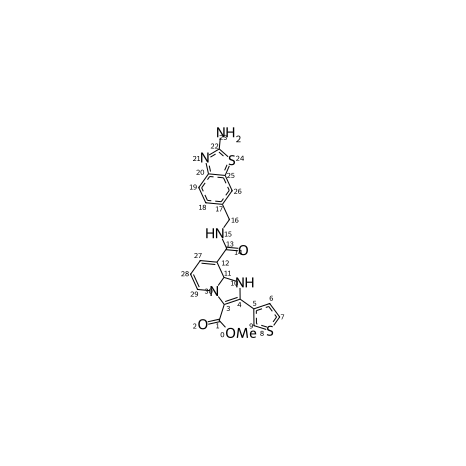 COC(=O)C1=C(c2ccsc2)NC2C(C(=O)NCc3ccc4nc(N)sc4c3)=CC=CN12